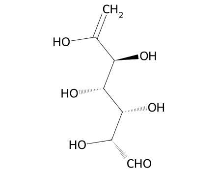 C=C(O)[C@@H](O)[C@@H](O)[C@H](O)[C@@H](O)C=O